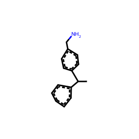 CC(c1ccccc1)c1ccc(CN)cc1